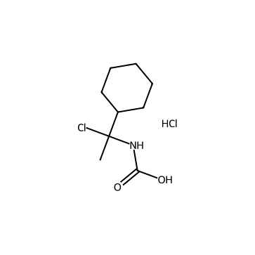 CC(Cl)(NC(=O)O)C1CCCCC1.Cl